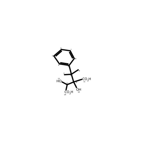 CC(C)(c1ccccc1)C(O)(C(=O)O)C(O)C(=O)O